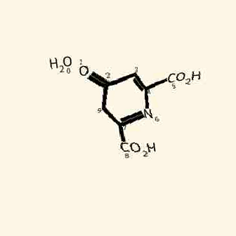 O.O=C1C=C(C(=O)O)N=C(C(=O)O)C1